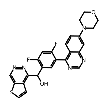 OC(c1cc(-c2ncnc3cc(N4CCOCC4)ccc23)c(F)cc1F)c1nncc2sccc12